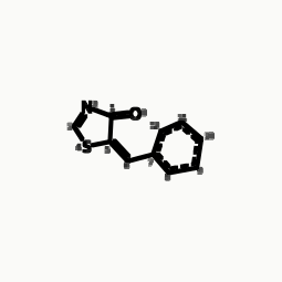 O=C1N=CSC1=Cc1ccccc1